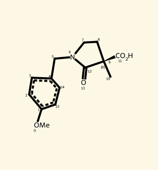 COc1ccc(CN2CC[C@@](C)(C(=O)O)C2=O)cc1